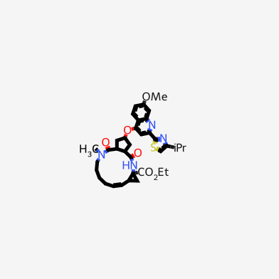 CCOC(=O)C12CC1/C=C\CCCCN(C)C(=O)C1CC(Oc3cc(-c4nc(C(C)C)cs4)nc4cc(OC)ccc34)CC1C(=O)N2